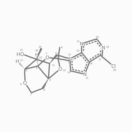 CC1(C)O[C@@H]2[C@H]3OCC[C@]2(O1)[C@H](Cn1cnc2c(Cl)ncnc21)[C@@]3(C)O